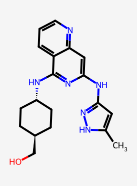 Cc1cc(Nc2cc3ncccc3c(N[C@H]3CC[C@H](CO)CC3)n2)n[nH]1